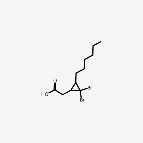 CCCCCCC1C(CC(=O)O)C1(Br)Br